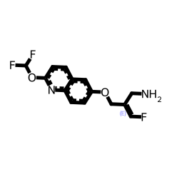 NC/C(=C\F)COc1ccc2nc(OC(F)F)ccc2c1